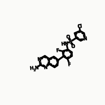 Nc1ncc2cc(-c3c(F)ccc(NS(=O)(=O)c4cncc(Cl)c4)c3F)ccc2n1